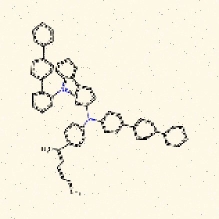 C=C/C=C\C=C(/C)c1ccc(N(c2ccc(-c3ccc(-c4ccccc4)cc3)cc2)c2ccc3c4ccccc4n(-c4ccccc4-c4ccc(-c5ccccc5)cc4)c3c2)cc1